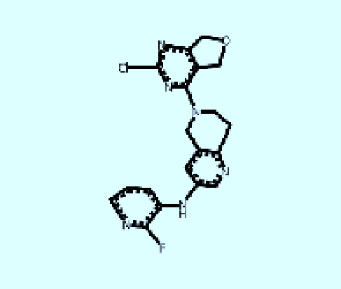 Fc1ncccc1Nc1cnc2c(c1)CN(c1nc(Cl)nc3c1COC3)CC2